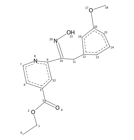 CCOC(=O)c1ccnc(/C(Cc2cccc(OC)c2)=N/O)c1